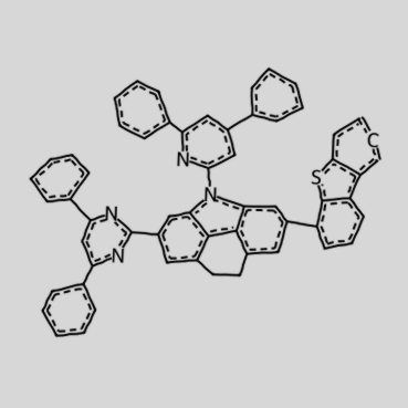 c1ccc(-c2cc(-c3ccccc3)nc(-n3c4cc(-c5nc(-c6ccccc6)cc(-c6ccccc6)n5)cc5c4c4c(cc(-c6cccc7c6sc6ccccc67)cc43)CC5)c2)cc1